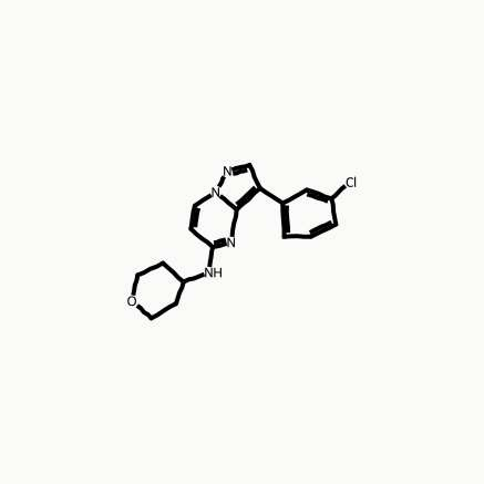 Clc1cccc(-c2cnn3ccc(NC4CCOCC4)nc23)c1